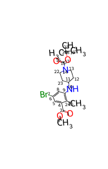 COC(=O)c1cc(Br)cc(NC2CCN(C(=O)OC(C)(C)C)CC2)c1C